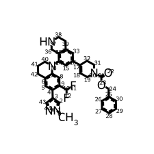 Cn1cc(-c2cc3c(cc2C(F)F)N(c2cc(C4=CCN(C(=O)OCc5ccccc5)CC4)cc4c2CNCC4)CCC3)cn1